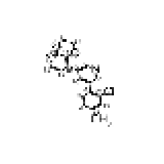 Cc1ccc(-c2cncc(-c3ccnc4c3OCCO4)c2)c(Cl)c1